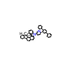 CC1(C)c2ccccc2-c2ccc3ccc4c(c5ccccc5n4-c4ccc(-c5cc(-c6ccccc6)ccc5-c5ccccc5)nc4)c3c21